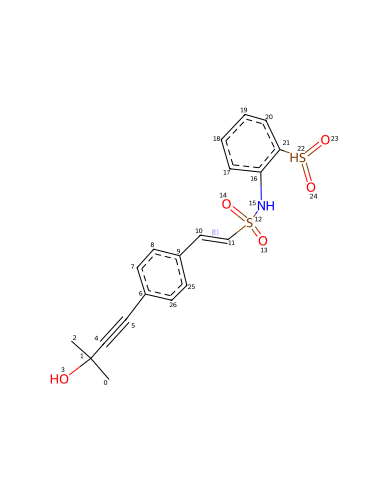 CC(C)(O)C#Cc1ccc(/C=C/S(=O)(=O)Nc2ccccc2[SH](=O)=O)cc1